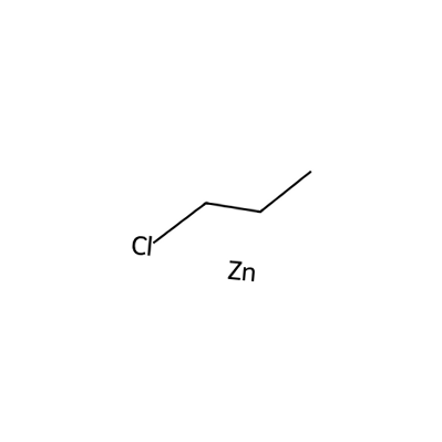 CCCCl.[Zn]